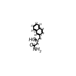 NC(=O)CN(O)Cc1ccc2ccccc2c1